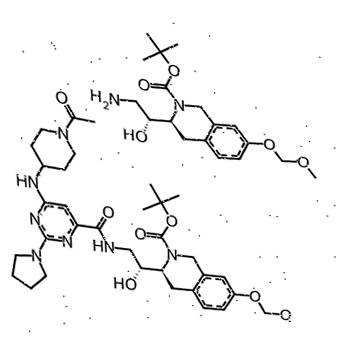 COCOc1ccc2c(c1)CN(C(=O)OC(C)(C)C)[C@H]([C@H](O)CN)C2.COCOc1ccc2c(c1)CN(C(=O)OC(C)(C)C)[C@H]([C@H](O)CNC(=O)c1cc(NC3CCN(C(C)=O)CC3)nc(N3CCCC3)n1)C2